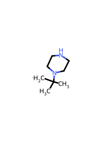 [CH2]C(C)(C)N1CCNCC1